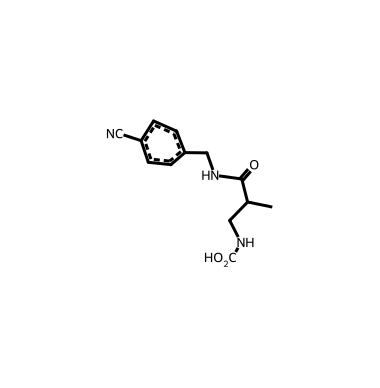 CC(CNC(=O)O)C(=O)NCc1ccc(C#N)cc1